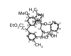 CCOC(=O)CC(c1ccc(C)c(CN2CC(C)Oc3ncccc3S2(O)O)c1)c1cc(OC)c2c(c1)nnn2C